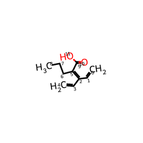 C=CC(C=C)=C(CCC)C(=O)O